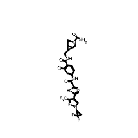 Cn1c(-c2cn(C3CC3(F)F)nc2C(F)(F)F)cnc1C(=O)Nc1ccc(C(=O)NCC2C3CN(C(N)=O)CC23)c(Cl)c1